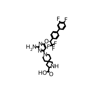 Nc1nc(O[C@H](c2ccc(-c3ccc(F)c(F)c3)cc2)C(F)(F)F)cc(N2CCC3(CC2)CNC(C(=O)O)C3)n1